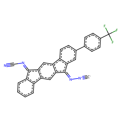 [C-]#[N+]/N=c1\c2cc(-c3ccc(C(F)(F)F)cc3)ccc2c2cc3/c(=N/C#N)c4ccccc4c3cc12